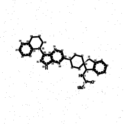 CC(C)(C)[S@@+]([O-])NC1c2ccccc2C[C@]12CC[C@H](c1cnc3c(N4CCCc5ncccc54)n[nH]c3n1)CC2